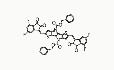 O=C1C(=O)c2c(F)cc(F)cc2/C1=C/c1cc2c(s1)c1c(c3sc(/C=C4\C(=O)C(=O)c5c(F)cc(F)cc54)cc3n1C(=O)OCc1ccccc1)n2C(=O)OCc1ccccc1